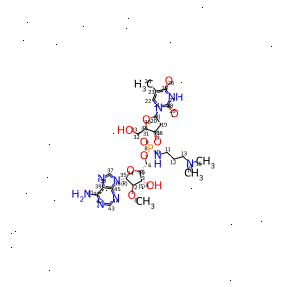 COC1[C@@H](O)[C@@H](COP(=O)(NCCCN(C)C)O[C@@H]2C[C@H](n3cc(C)c(=O)[nH]c3=O)O[C@@H]2CO)O[C@H]1n1cnc2c(N)ncnc21